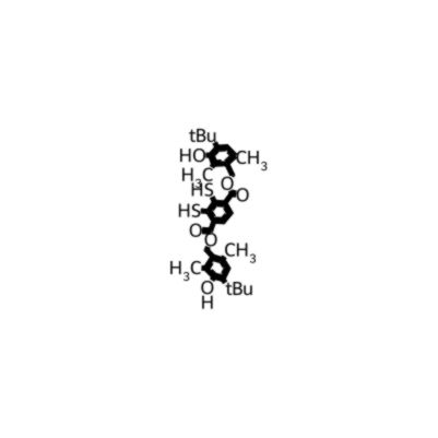 Cc1cc(C(C)(C)C)c(O)c(C)c1COC(=O)c1ccc(C(=O)OCc2c(C)cc(C(C)(C)C)c(O)c2C)c(S)c1S